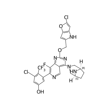 Oc1cc(Cl)c(C(F)(F)F)c(-c2ncc3c(N4C[C@H]5CC[C@@H](C4)N5)nc(OCc4cc5oc(Cl)cc5[nH]4)nc3c2F)c1